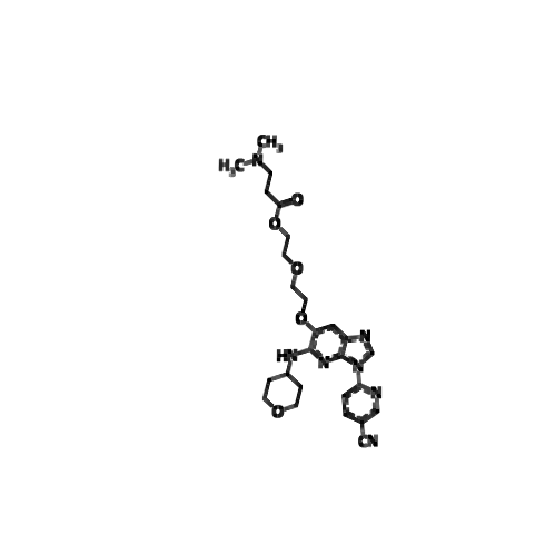 CN(C)CCC(=O)OCCOCCOc1cc2ncn(-c3ccc(C#N)cn3)c2nc1NC1CCOCC1